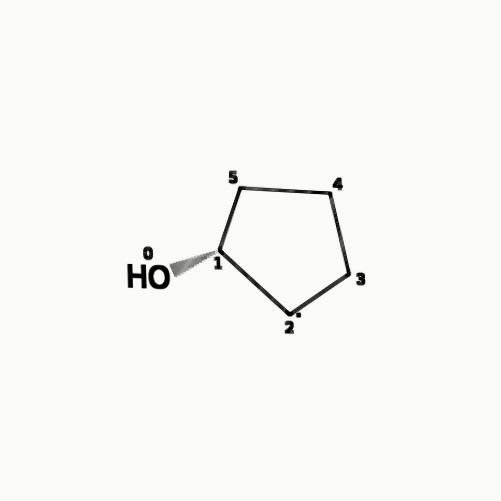 O[C@H]1[CH]CCC1